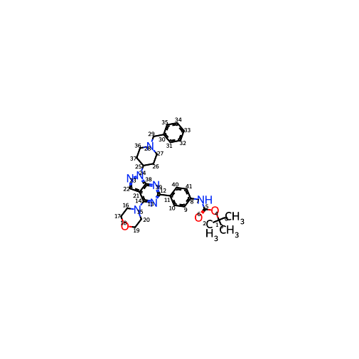 CC(C)(C)OC(=O)Nc1ccc(-c2nc(N3CCOCC3)c3cnn(C4CCN(Cc5ccccc5)CC4)c3n2)cc1